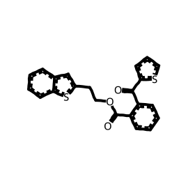 O=C(OCCc1cc2ccccc2s1)c1ccccc1C(=O)c1cccs1